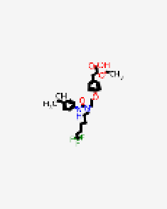 CCOC(Cc1ccc(OCCN(CCCCCCC(F)(F)F)C(=O)Nc2ccc(C(C)C)cc2)cc1)C(=O)O